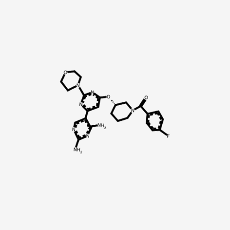 Nc1ncc(-c2cc(O[C@H]3CCCN(C(=O)c4ccc(F)cc4)C3)nc(N3CCOCC3)n2)c(N)n1